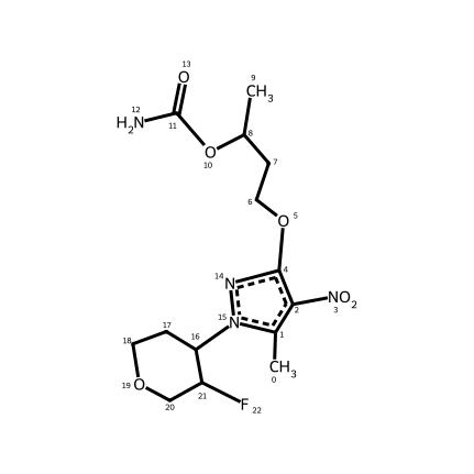 Cc1c([N+](=O)[O-])c(OCCC(C)OC(N)=O)nn1C1CCOCC1F